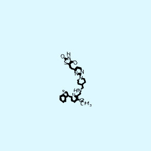 COc1ccc(-c2csc3ccccc23)nc1CNCC1CCN(c2nccc(C=C3SC(=O)NC3=O)n2)CC1